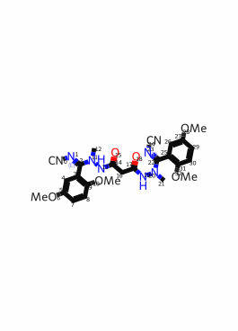 [C-]#[N+]/N=C(\c1cc(OC)ccc1OC)N(C)NC(=O)CC(=O)NN(C)/C(=N/C#N)c1cc(OC)ccc1OC